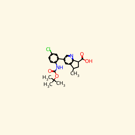 CC1CC(C(=O)O)c2ncc(-c3cc(Cl)ccc3NC(=O)OC(C)(C)C)cc21